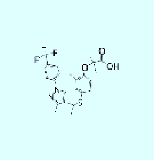 Cc1cc(SC(C)c2cn(-c3ccc(C(F)(F)F)cc3)nc2C)ccc1OC(C)(C)C(=O)O